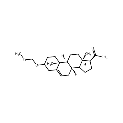 COCOC1CC[C@@]2(C)C(=CC[C@H]3[C@@H]4CC[C@H](C(C)=O)[C@@]4(C)CC[C@@H]32)C1